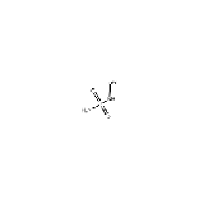 [CH2]CCNS(N)(=O)=O